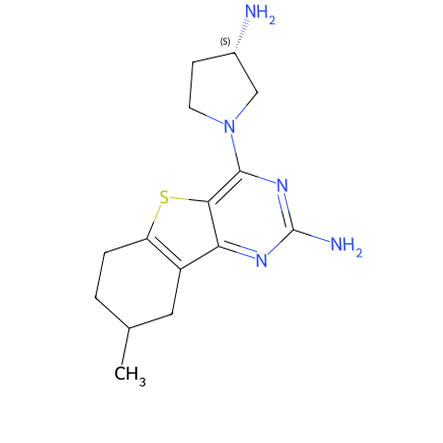 CC1CCc2sc3c(N4CC[C@H](N)C4)nc(N)nc3c2C1